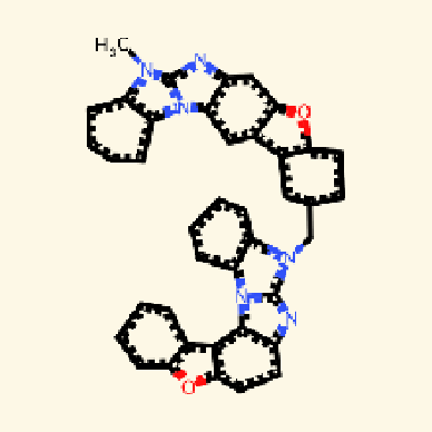 Cn1c2ccccc2n2c3cc4c(cc3nc12)oc1ccc(Cn2c3ccccc3n3c5c(ccc6oc7ccccc7c65)nc23)cc14